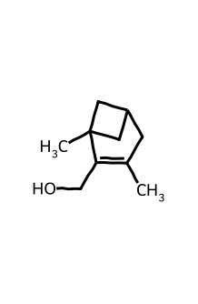 CC1=C(CO)C2(C)CC(C1)C2